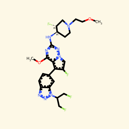 COCCN1CC[C@@H](Nc2nc(OC)c3c(-c4ccc5nnn(C(CF)CF)c5c4)c(F)cn3n2)[C@H](F)C1